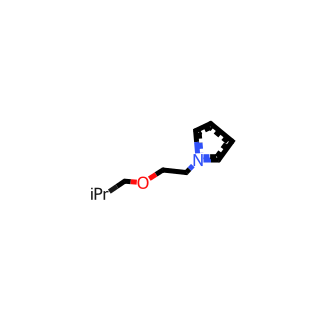 CC(C)COCCn1cccc1